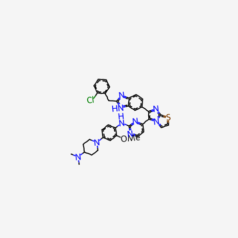 COc1cc(N2CCC(N(C)C)CC2)ccc1Nc1nccc(-c2c(-c3ccc4nc(Cc5ccccc5Cl)[nH]c4c3)nc3sccn23)n1